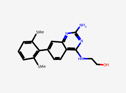 CSc1cccc(SC)c1-c1ccc2c(NCCO)nc(N)nc2c1